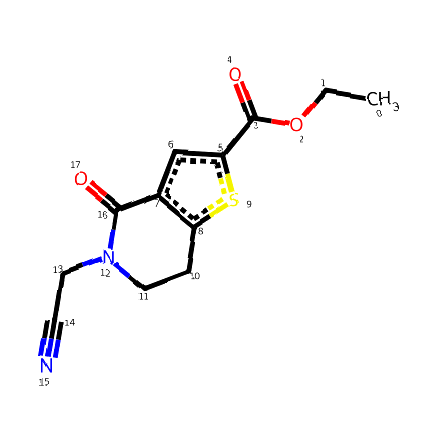 CCOC(=O)c1cc2c(s1)CCN(CC#N)C2=O